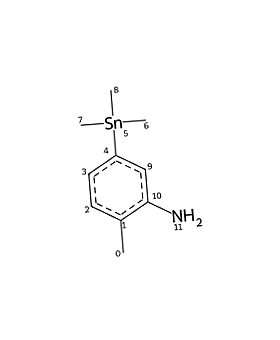 Cc1cc[c]([Sn]([CH3])([CH3])[CH3])cc1N